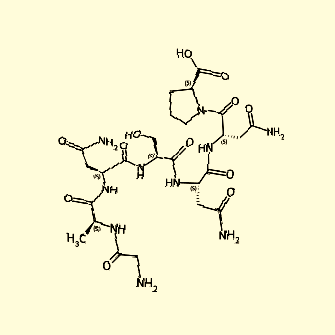 C[C@H](NC(=O)CN)C(=O)N[C@@H](CC(N)=O)C(=O)N[C@@H](CO)C(=O)N[C@@H](CC(N)=O)C(=O)N[C@@H](CC(N)=O)C(=O)N1CCC[C@H]1C(=O)O